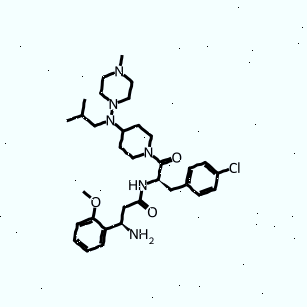 COc1ccccc1[C@H](N)CC(=O)N[C@H](Cc1ccc(Cl)cc1)C(=O)N1CCC(N(CC(C)C)N2CCN(C)CC2)CC1